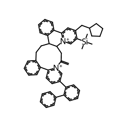 C=C1CC2C(CCc3ccccc3-c3ccc(-c4ccccc4-c4ccccc4)c[n+]31)c1ccccc1-c1cc(CC3CCCC3)c([Si](C)(C)C)c[n+]12